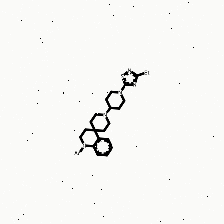 CCc1nsc(N2CCC(N3CCC4(CCN(C(C)=O)c5ccccc54)CC3)CC2)n1